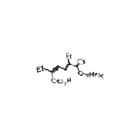 CCCCCCOC(=O)C(=CC=C(CC)C(=O)O)CC